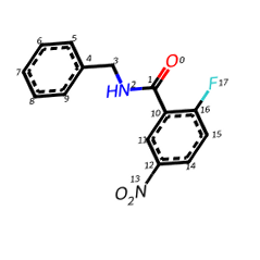 O=C(NCc1ccccc1)c1cc([N+](=O)[O-])ccc1F